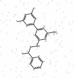 Cc1cc(C)cc(-c2cc(NCC(C)c3ccccc3)nc(N)n2)c1